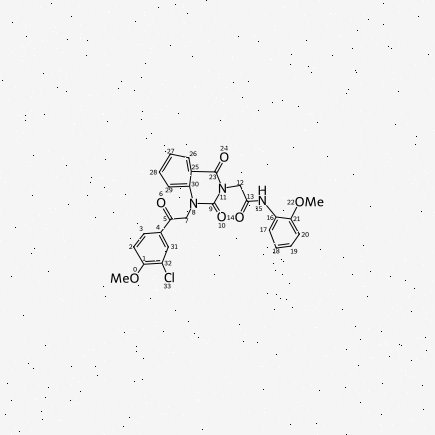 COc1ccc(C(=O)Cn2c(=O)n(CC(=O)Nc3ccccc3OC)c(=O)c3ccccc32)cc1Cl